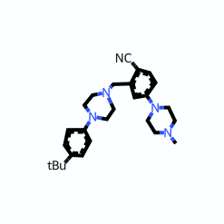 CN1CCN(c2ccc(C#N)c(CN3CCN(c4ccc(C(C)(C)C)cc4)CC3)c2)CC1